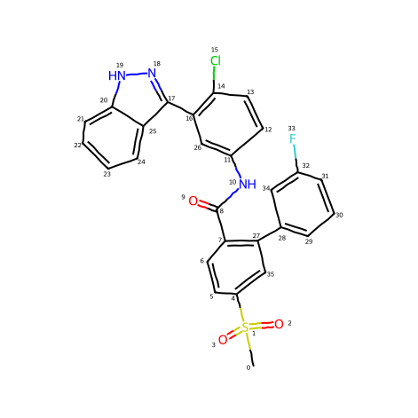 CS(=O)(=O)c1ccc(C(=O)Nc2ccc(Cl)c(-c3n[nH]c4ccccc34)c2)c(-c2cccc(F)c2)c1